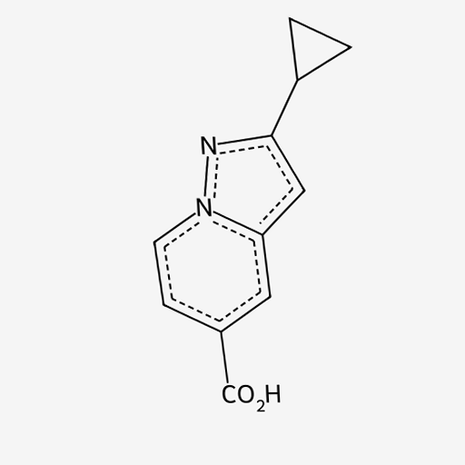 O=C(O)c1ccn2nc(C3CC3)cc2c1